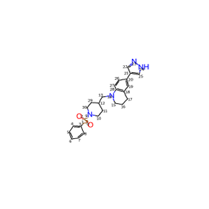 O=S(=O)(c1ccccc1)N1CCC(CN2CCCc3cc(-c4cn[nH]c4)ccc32)CC1